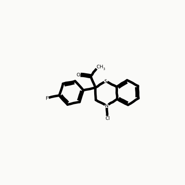 CC(=O)C1(c2ccc(F)cc2)CN(Cl)c2ccccc2S1